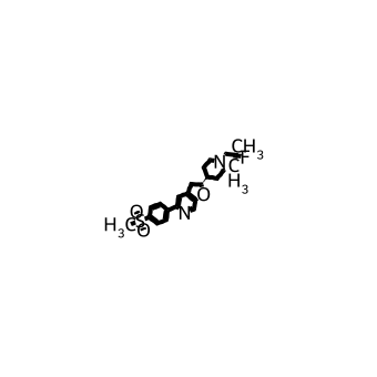 CC(C)(F)CN1CCC([C@H]2Cc3cc(-c4ccc(S(C)(=O)=O)cc4)ncc3O2)CC1